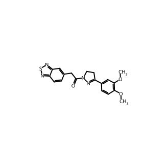 COc1ccc(C2=NN(C(=O)Cc3ccc4nsnc4c3)CC2)cc1OC